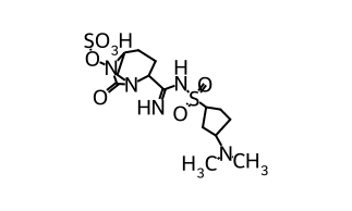 CN(C)C1CCC(S(=O)(=O)NC(=N)C2CCC3CN2C(=O)N3OS(=O)(=O)O)C1